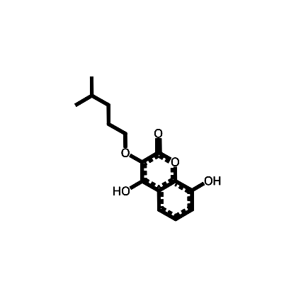 CC(C)CCCOc1c(O)c2cccc(O)c2oc1=O